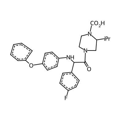 CC(C)C1CN(C(=O)C(Nc2ccc(Oc3ccccc3)cc2)c2ccc(F)cc2)CCN1C(=O)O